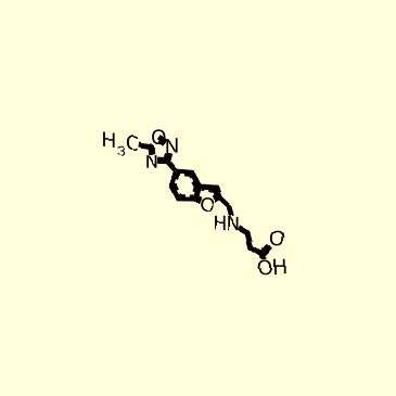 Cc1nc(-c2ccc3oc(CNCCC(=O)O)cc3c2)no1